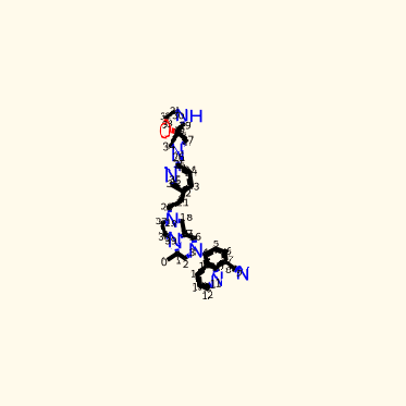 CC1CN(c2ccc(C#N)c3ncccc23)CC2CN(CCc3ccc(N4CC5(CNCCO5)C4)nc3)CCN12